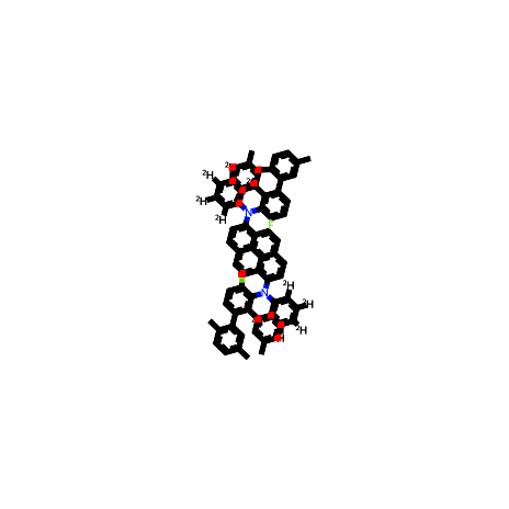 [2H]c1c([2H])c([2H])c(N(c2c(F)ccc(-c3cc(C)ccc3C)c2-c2cc(C)ccc2C)c2ccc3ccc4c(N(c5c([2H])c([2H])c([2H])c([2H])c5[2H])c5c(F)ccc(-c6cc(C)ccc6C)c5-c5cc(C)ccc5C)ccc5ccc2c3c54)c([2H])c1[2H]